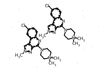 Cn1cc2c(n1)c(N1CC[N+](C)(C)CC1)nc1ccc(Cl)cc12.Cn1cc2c(n1)c(N1CC[N+](C)(C)CC1)nc1ccc(Cl)cc12